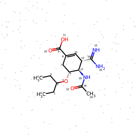 CCC(CC)O[C@@H]1CC(C(=O)O)=C[C@H](C(=N)N)[C@H]1NC(C)=O